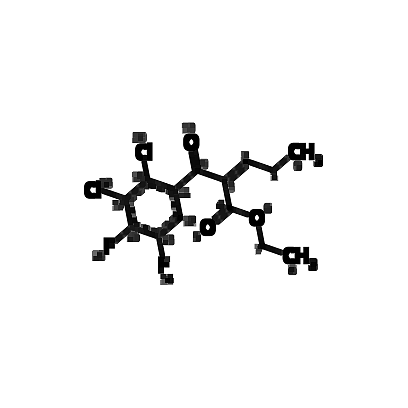 CCC=C(C(=O)OCC)C(=O)c1cc(F)c(F)c(Cl)c1Cl